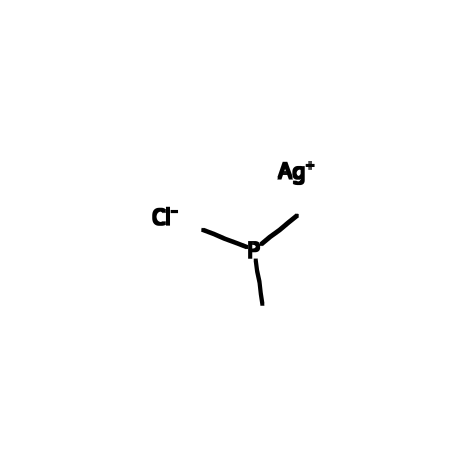 CP(C)C.[Ag+].[Cl-]